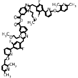 COCCn1c(Cc2cc(F)c(-c3cccc(OCc4ccc(C)nc4C)n3)cc2F)nc2ccc(C(=O)OC(=O)c3ccc4nc(Cc5cc(F)c(-c6cccc(OCc7ccc(C)nc7C)n6)cc5F)n(CCOC)c4c3)cc21